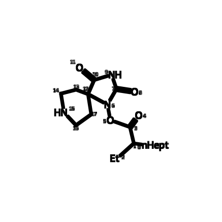 CCCCCCCC(CC)C(=O)ON1C(=O)NC(=O)C12CCNCC2